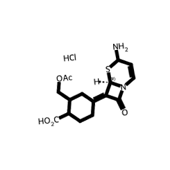 CC(=O)OCC1CC(=C2C(=O)N3C=CC(N)S[C@H]23)CCC1C(=O)O.Cl